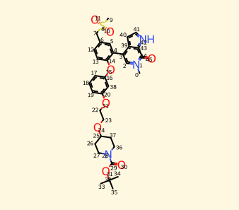 Cn1cc(-c2cc(CS(C)(=O)=O)ccc2Oc2cccc(OCCOC3CCN(C(=O)OC(C)(C)C)CC3)c2)c2cc[nH]c2c1=O